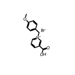 COc1ccc(C[n+]2cccc(C(=O)O)c2)cc1.[Br-]